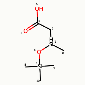 C[SiH](CC(=O)O)O[Si](C)(C)C